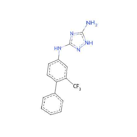 Nc1nc(Nc2ccc(-c3ccccc3)c(C(F)(F)F)c2)n[nH]1